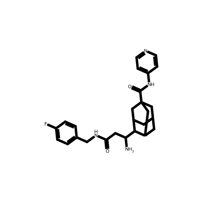 NC(CC(=O)NCc1ccc(F)cc1)C1C2CC3CC1CC(C(=O)Nc1ccncc1)(C3)C2